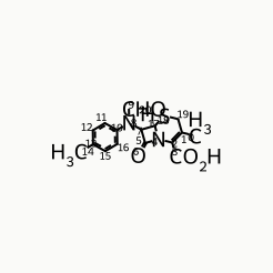 CC1=C(C(=O)O)N2C(=O)C(N(C=O)c3ccc(C)cc3)[C@H]2SC1